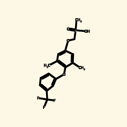 Cc1cc(OCP(C)(=O)O)cc(C)c1Oc1cccc(C(F)(F)F)c1